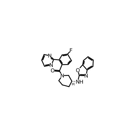 O=C(c1ccc(F)cc1-c1ncccn1)N1CCC[C@@H](Nc2nc3ccccc3o2)C1